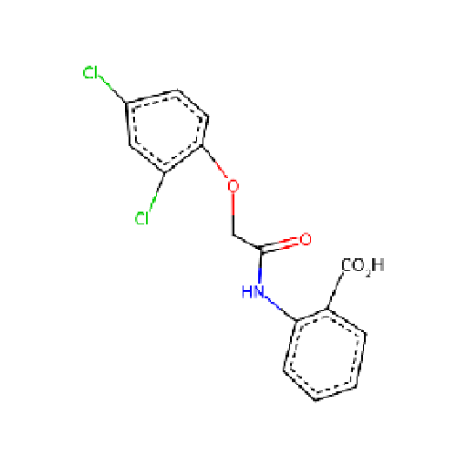 O=C(COc1ccc(Cl)cc1Cl)Nc1ccccc1C(=O)O